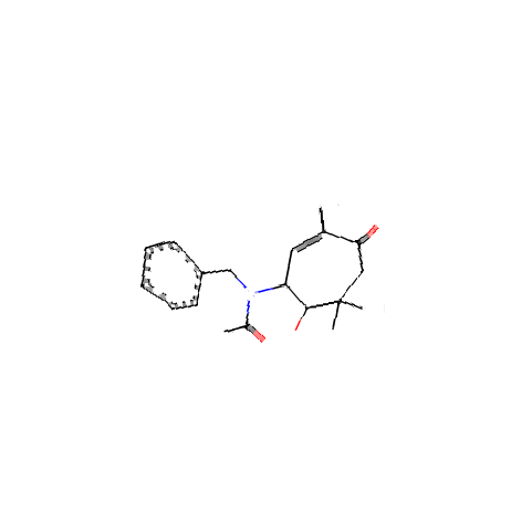 CC(=O)N(Cc1ccccc1)C1C=C(C)C(=O)CC(C)(C)C1O